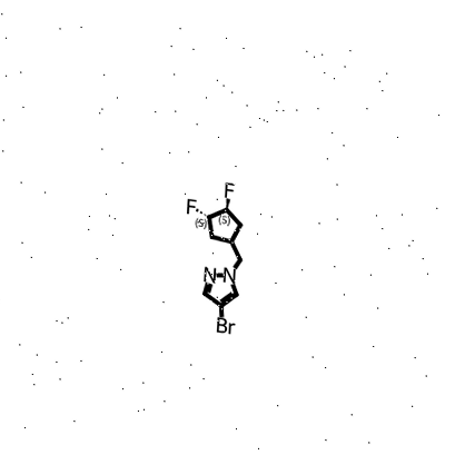 F[C@H]1CC(Cn2cc(Br)cn2)C[C@@H]1F